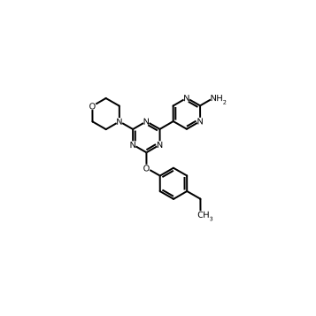 CCc1ccc(Oc2nc(-c3cnc(N)nc3)nc(N3CCOCC3)n2)cc1